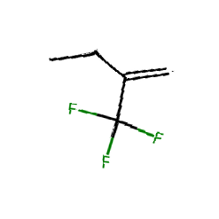 [CH]=C(CC)C(F)(F)F